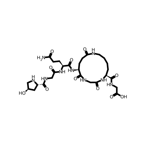 NC(=O)CC[C@H](NC(=O)CNC(=O)[C@@H]1C[C@@H](O)CN1)C(=O)N[C@H]1CCC(=O)NCCCC[C@@H](C(=O)NCC(=O)O)NC(=O)CNC1=O